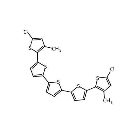 Cc1cc(Cl)sc1-c1ccc(-c2ccc(-c3ccc(-c4sc(Cl)cc4C)s3)s2)s1